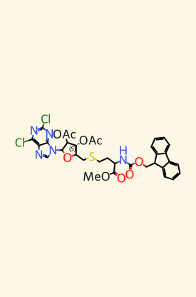 COC(=O)C(CCSCC1OC(n2cnc3c(Cl)nc(Cl)nc32)C(OC(C)=O)[C@@H]1OC(C)=O)NC(=O)OCC1c2ccccc2-c2ccccc21